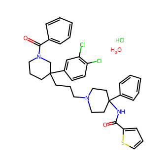 Cl.O.O=C(NC1(c2ccccc2)CCN(CCCC2(c3ccc(Cl)c(Cl)c3)CCCN(C(=O)c3ccccc3)C2)CC1)c1cccs1